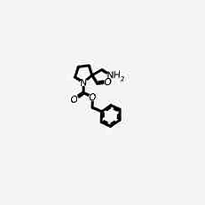 NCC1(C=O)CCCN1C(=O)OCc1ccccc1